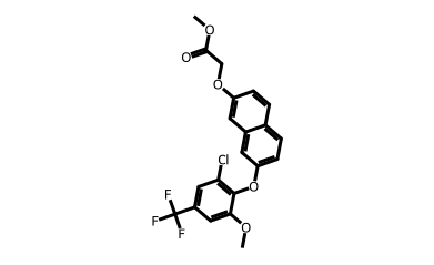 COC(=O)COc1ccc2ccc(Oc3c(Cl)cc(C(F)(F)F)cc3OC)cc2c1